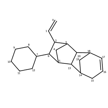 C=CC1C2CC(C1C1CCCCC1)C1C3CC=CC(C3)C21